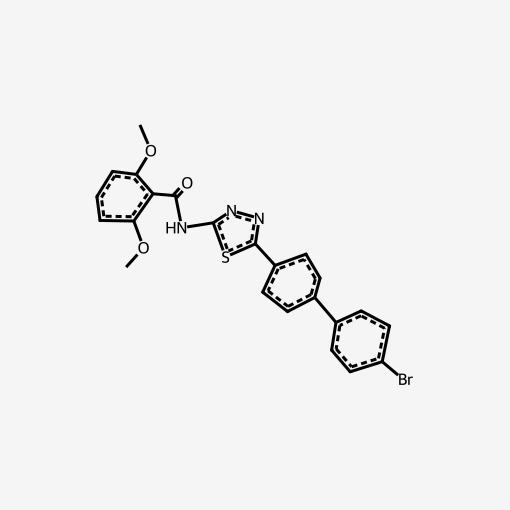 COc1cccc(OC)c1C(=O)Nc1nnc(-c2ccc(-c3ccc(Br)cc3)cc2)s1